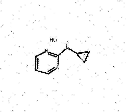 Cl.c1cnc(NC2CC2)nc1